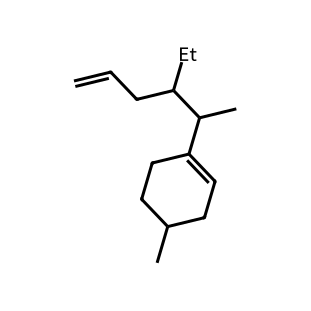 C=CCC(CC)C(C)C1=CCC(C)CC1